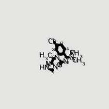 CC(c1nc[nH]n1)n1c(=O)nc(N(C)C)c2ccc(Cl)cc21